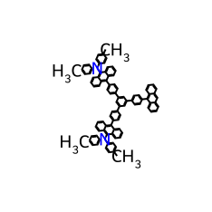 Cc1ccc(N(c2ccc(C)cc2)c2c3ccccc3c(-c3ccc(-c4cc(-c5ccc(-c6c7ccccc7cc7ccccc67)cc5)cc(-c5ccc(-c6c7ccccc7c(N(c7ccc(C)cc7)c7ccc(C)cc7)c7ccccc67)cc5)c4)cc3)c3ccccc23)cc1